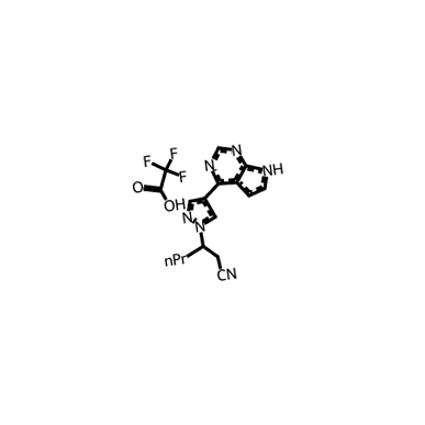 CCCC(CC#N)n1cc(-c2ncnc3[nH]ccc23)cn1.O=C(O)C(F)(F)F